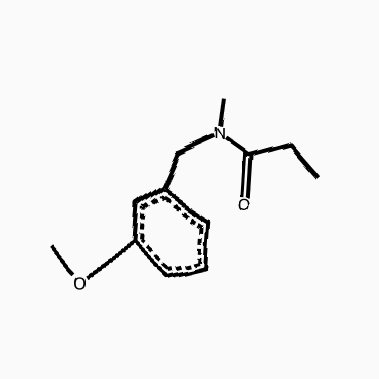 CCC(=O)N(C)Cc1cccc(OC)c1